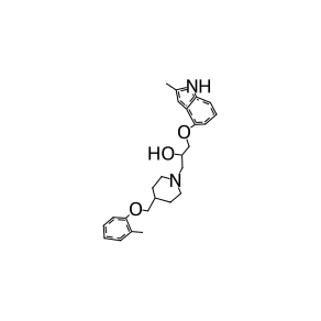 Cc1cc2c(OCC(O)CN3CCC(COc4ccccc4C)CC3)cccc2[nH]1